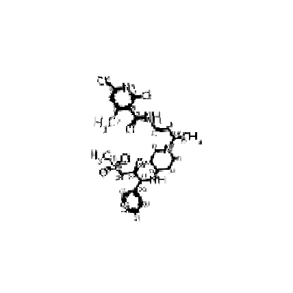 Cc1cc(Cl)nc(Cl)c1C(=O)NCC[C@@H](C)N1CCC(NC(C(=O)CS(C)(=O)=O)c2ccsc2)CC1